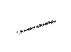 COCCOCCOCCOCCOCCOCCOCCOCCOCCOCCOCCOCCOCCC(=O)O